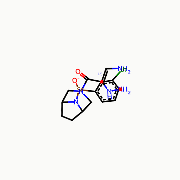 N/C=C(\NN)C(=O)N1CC2CCC(C1)N2[S+]([O-])c1cccc(Br)c1